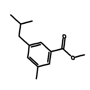 COC(=O)c1cc(C)cc(CC(C)C)c1